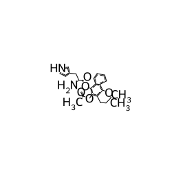 CC(=O)Oc1c2c(c3ccccc3c1OC(=O)C(N)Cc1cc[nH]c1)OC(C)(C)CC2